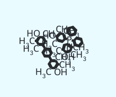 Cc1cc(-c2ccc(-c3cc(C)c(O)c(C)c3C)cc2)c(C)c(C)c1O.Cc1cc([PH](c2ccccc2)(c2ccccc2)c2cc(C)c(O)c(C)c2C)c(C)c(C)c1O